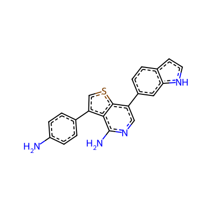 Nc1ccc(-c2csc3c(-c4ccc5cc[nH]c5c4)cnc(N)c23)cc1